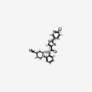 N#CC1CCN(c2ccccc2NC(=O)c2csc(-c3ccc(Cl)nc3)n2)CC1